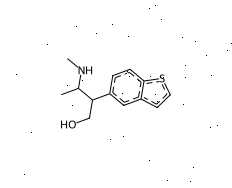 CNC(C)C(CO)c1ccc2sccc2c1